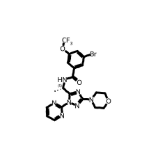 C[C@H](NC(=O)c1cc(Br)cc(OC(F)(F)F)c1)c1nc(N2CCOCC2)nn1-c1ncccn1